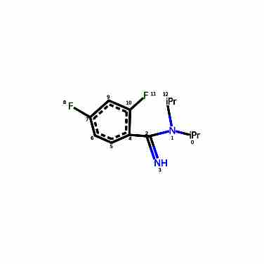 CC(C)N(C(=N)c1ccc(F)cc1F)C(C)C